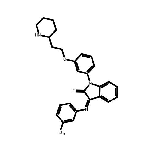 O=C1C(=Nc2cccc(C(F)(F)F)c2)c2ccccc2N1c1cccc(OCCC2CCCCN2)c1